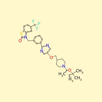 C=C(OC(C)(C)C)N1CCC(COc2cnc(-c3cccc(Cn4c(=O)sc5ccc(C(F)(F)F)cc54)c3)nc2)CC1